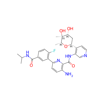 CC(C)NC(=O)c1ccc(F)c(-c2ccc(N)c(C(=O)Nc3cnccc3[C@H]3C[C@@H](O)[C@](C)(O)[C@@H](C)O3)n2)c1